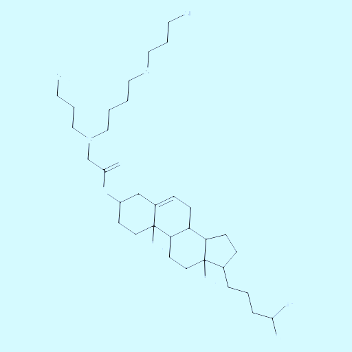 CCC(CCCC1CCC2C3CC=C4CC(OC(=O)CN(CCCN)CCCCNCCCN)CCC4(C)C3CCC12C)C(C)C